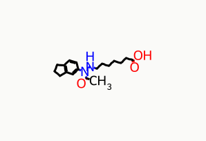 CC(=O)N(NCCCCCCC(=O)O)c1ccc2c(c1)CCC2